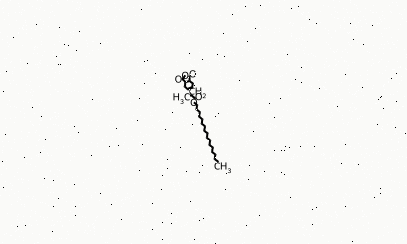 C=C(C)C(=O)OCCCCCCCCCCCCCCCCCC.O=C1OC(=O)C2CC=CCC12